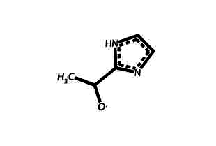 CC([O])c1ncc[nH]1